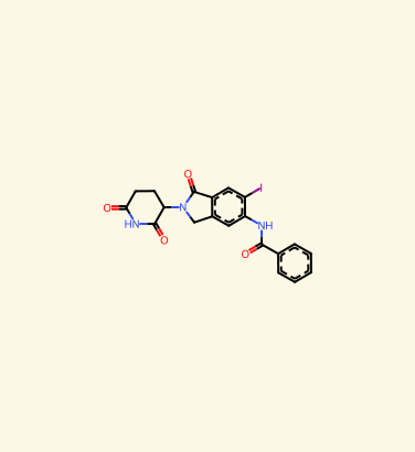 O=C1CCC(N2Cc3cc(NC(=O)c4ccccc4)c(I)cc3C2=O)C(=O)N1